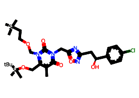 Cc1c(CO[Si](C)(C)C(C)(C)C)n(COCC[Si](C)(C)C)c(=O)n(Cc2nc(C[C@H](O)c3ccc(Cl)cc3)no2)c1=O